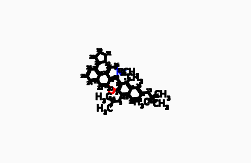 Cc1c2c(c(CC(C)C)c3ccc(CC(C)(C)C)cc13)Oc1cc3cccc(C4CCCC4)c3c3cc[n+](C)c-2c13